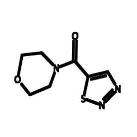 O=C(c1cnns1)N1CCOCC1